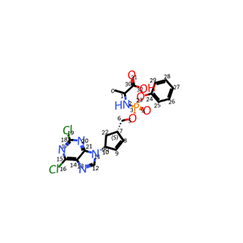 CC(NP(=O)(OC[C@@H]1C=C[C@H](n2cnc3c(Cl)nc(Cl)nc32)C1)Oc1ccccc1)C(=O)O